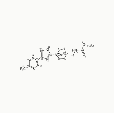 CC(C)(C)OC(=O)NC[C@]12CC[C@](c3nc(-c4ncc(C(F)(F)F)cn4)no3)(CC1)CC2